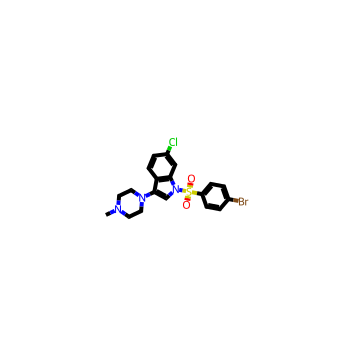 CN1CCN(c2cn(S(=O)(=O)c3ccc(Br)cc3)c3cc(Cl)ccc23)CC1